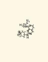 CC(C)Nc1nccc2cnc(NC3CCS(=O)(=O)CC3)nc12